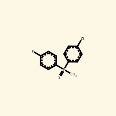 CP(=S)(c1ccc(F)cc1)c1ccc(Cl)cc1